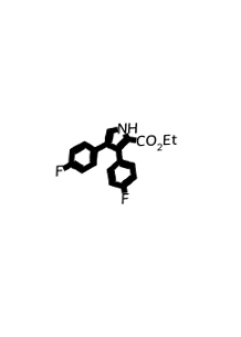 CCOC(=O)c1[nH]cc(-c2ccc(F)cc2)c1-c1ccc(F)cc1